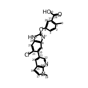 Cc1ccc(Oc2nc3cc(-c4cnc5c(ccn5C)c4)c(Cl)cc3[nH]2)cc1C(=O)O